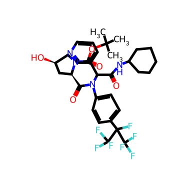 CC(C)(C)OC(=O)N1C[C@H](O)C[C@@H]1C(=O)N(c1ccc(C(F)(C(F)(F)F)C(F)(F)F)cc1)C(C(=O)NC1CCCCC1)c1cccnc1